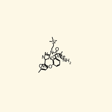 COc1cccc(OC)c1-n1c(-c2ccc(C)o2)nnc1N(CC[Si](C)(C)C)S(=O)(=O)[C@@H](C)CN